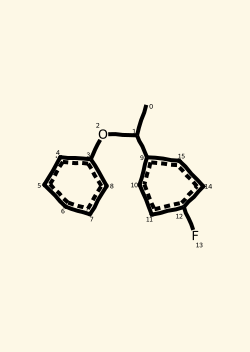 CC(Oc1[c]cccc1)c1ccc(F)cc1